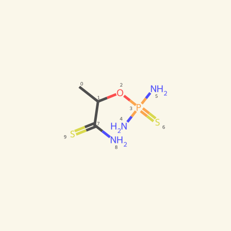 CC(OP(N)(N)=S)C(N)=S